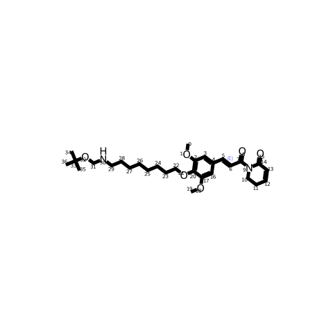 COc1cc(/C=C/C(=O)N2CCC=CC2=O)cc(OC)c1OCCCCCCCCNCOC(C)(C)C